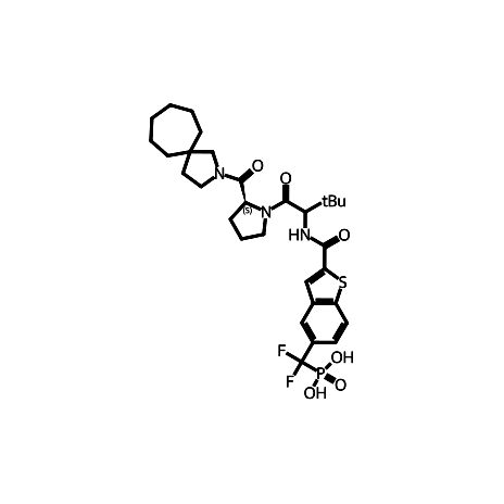 CC(C)(C)C(NC(=O)c1cc2cc(C(F)(F)P(=O)(O)O)ccc2s1)C(=O)N1CCC[C@H]1C(=O)N1CCC2(CCCCCC2)C1